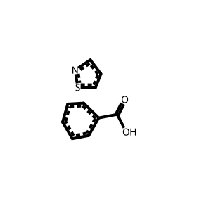 O=C(O)c1ccccc1.c1cnsc1